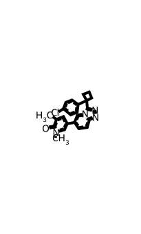 Cc1cc(-c2ccc3nnc(C4(c5ccc(Cl)cc5)CCC4)n3c2)cn(C)c1=O